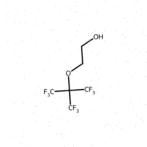 OCCOC(C(F)(F)F)(C(F)(F)F)C(F)(F)F